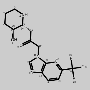 O=C(C[C@H]1NCCC[C@@H]1O)Cn1cnc2ccc(C(F)(F)F)nc21